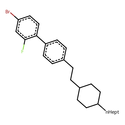 CCCCCCCC1CCC(CCc2ccc(-c3ccc(Br)cc3F)cc2)CC1